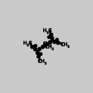 CCCc1ccc2c(c1)C1(CCCC1)c1cc(N(c3ccc(-c4ccc(C(CC)(CC)c5ccc(-c6ccc(N(c7ccc8c(c7)C7(CCCC7)c7cc(CCC)ccc7-8)c7ccc8c(c7)C7(CCCC7)c7cc(CCC)ccc7-8)cc6)cc5)cc4)cc3)c3ccc4c(c3)C3(CCCC3)c3cc(CCC)ccc3-4)ccc1-2